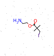 CC(C)(CI)C(=O)OCCN